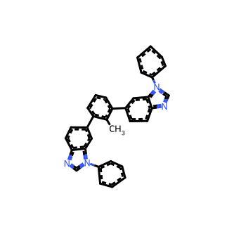 Cc1c(-c2ccc3ncn(-c4ccccc4)c3c2)cccc1-c1ccc2ncn(-c3ccccc3)c2c1